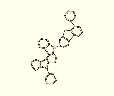 c1ccc(-c2cccc3c2Cc2cc(-n4c5ccccc5c5c6c7ccccc7n(-c7ccccc7)c6ccc54)ccc2-3)cc1